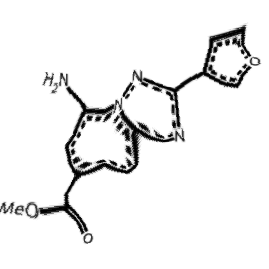 COC(=O)c1cc(N)n2nc(-c3ccoc3)nc2c1